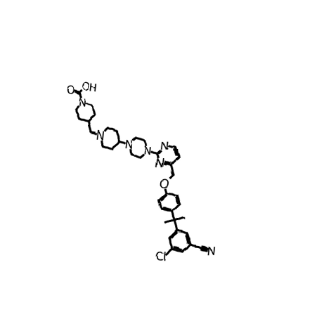 CC(C)(c1ccc(OCc2ccnc(N3CCN(C4CCN(CC5CCN(C(=O)O)CC5)CC4)CC3)n2)cc1)c1cc(Cl)cc(C#N)c1